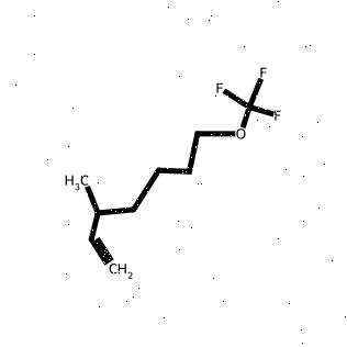 C=CC(C)CCCCOC(F)(F)F